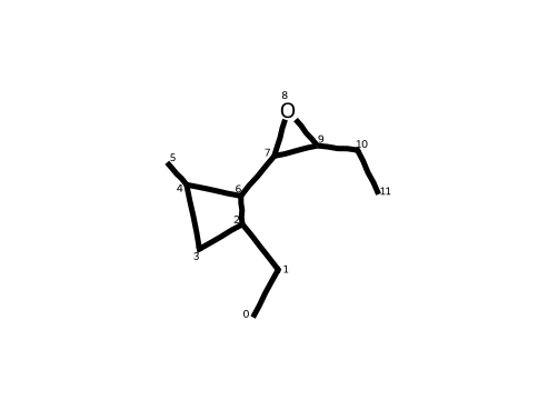 CCC1CC(C)C1C1OC1CC